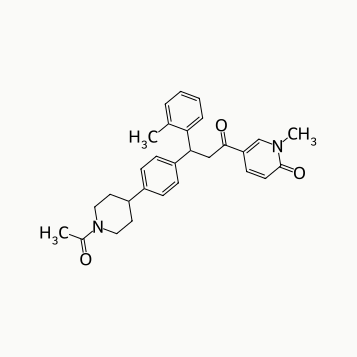 CC(=O)N1CCC(c2ccc(C(CC(=O)c3ccc(=O)n(C)c3)c3ccccc3C)cc2)CC1